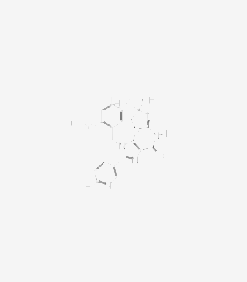 CCN1C(=O)c2nc(-c3ccc(F)nc3)n(Cc3ccc(F)cc3OC(C)C)c2N2CC(C)(C)N=C12